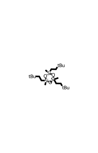 CC(C)(C)CC[Si]1(C)O[Si](C)(CCC(C)(C)C)O[Si](C)(CCC(C)(C)C)O1